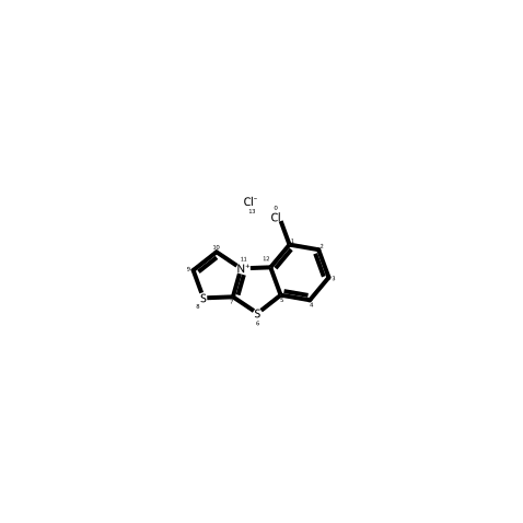 Clc1cccc2sc3scc[n+]3c12.[Cl-]